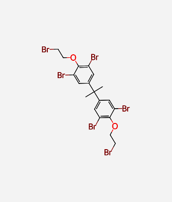 CC(C)(c1cc(Br)c(OCCBr)c(Br)c1)c1cc(Br)c(OCCBr)c(Br)c1